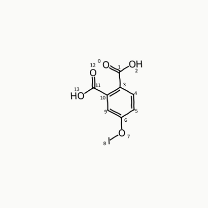 O=C(O)c1ccc(OI)cc1C(=O)O